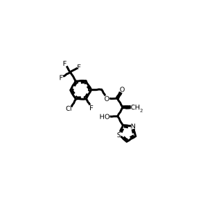 C=C(C(=O)OCc1cc(C(F)(F)F)cc(Cl)c1F)C(O)c1nccs1